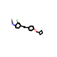 Fc1cc(C#Cc2ccc(OCC3CCC3)cc2)ccc1N=C=S